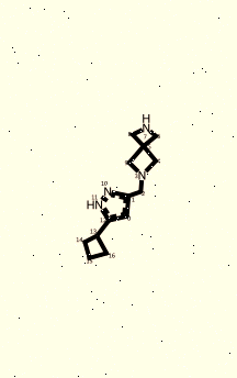 c1c(CN2CC3(CNC3)C2)n[nH]c1C1CCC1